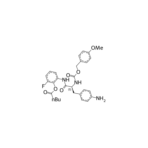 CCCCC(=O)Oc1c(F)cccc1NC(=O)[C@H](Cc1ccc(N)cc1)NC(=O)OCc1ccc(OC)cc1